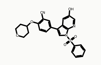 N#Cc1cc(-c2cn(S(=O)(=O)c3ccccc3)c3ncc(O)cc23)ccc1OC1CCOCC1